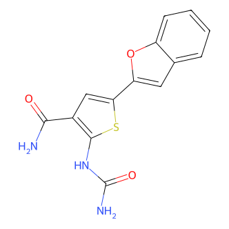 NC(=O)Nc1sc(-c2cc3ccccc3o2)cc1C(N)=O